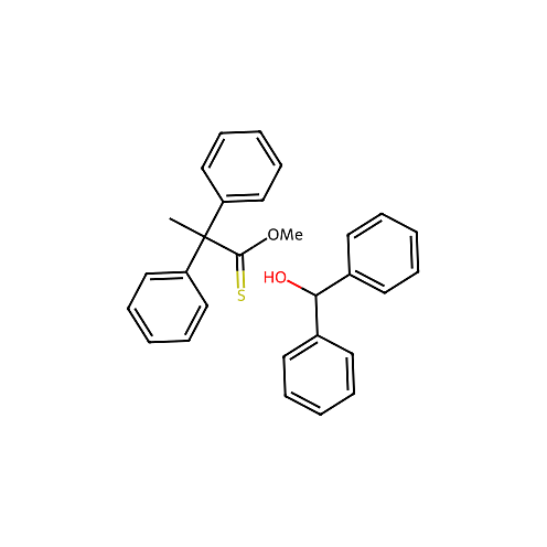 COC(=S)C(C)(c1ccccc1)c1ccccc1.OC(c1ccccc1)c1ccccc1